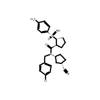 Cc1ccc([S@@](=N)(=O)[C@@H]2CCC[C@H]2C(=O)N(Cc2ccc(Cl)cc2)[C@@H]2CC[C@H](C#N)C2)cc1